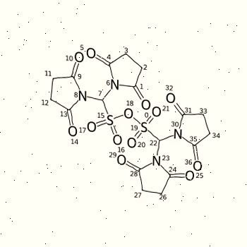 O=C1CCC(=O)N1C(N1C(=O)CCC1=O)S(=O)(=O)OS(=O)(=O)C(N1C(=O)CCC1=O)N1C(=O)CCC1=O